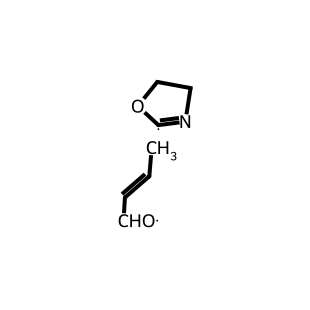 CC=C[C]=O.[C]1=NCCO1